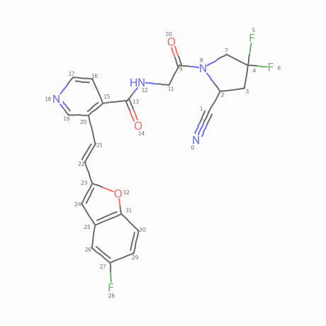 N#CC1CC(F)(F)CN1C(=O)CNC(=O)c1ccncc1/C=C/c1cc2cc(F)ccc2o1